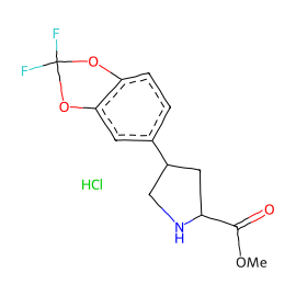 COC(=O)C1CC(c2ccc3c(c2)OC(F)(F)O3)CN1.Cl